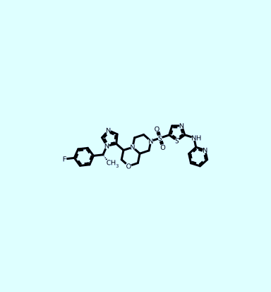 C[C@H](c1ccc(F)cc1)n1cncc1C1COCC2CN(S(=O)(=O)c3cnc(Nc4ccccn4)s3)CCN21